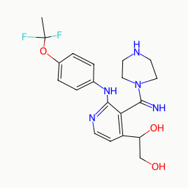 CC(F)(F)Oc1ccc(Nc2nccc(C(O)CO)c2C(=N)N2CCNCC2)cc1